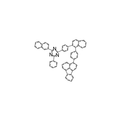 c1ccc(-c2nc(-c3ccc(-c4ccc5ccccc5c4-c4ccc(-c5ccc6c7c(cccc57)-c5ccccc5-6)cc4)cc3)nc(-c3ccc4ccccc4c3)n2)cc1